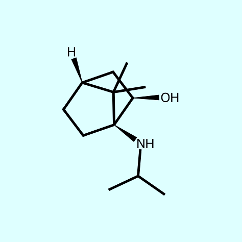 CC(C)N[C@]12CC[C@H](C[C@H]1O)C2(C)C